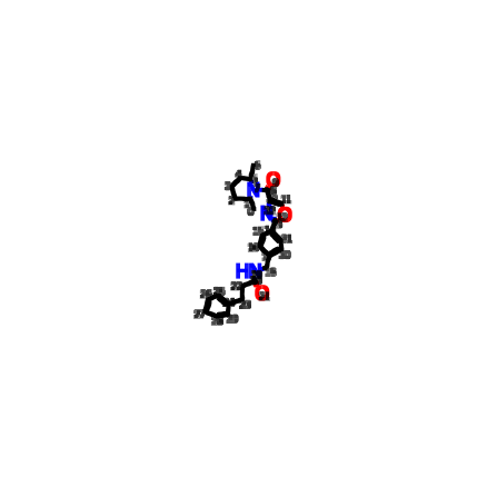 CC1CCCC(C)N1C(=O)c1coc(-c2ccc(CNC(=O)CCc3ccccc3)cc2)n1